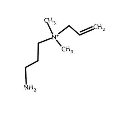 C=CC[N+](C)(C)CCCN